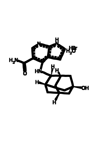 Br.NC(=O)c1cnc2[nH]ccc2c1N[C@H]1[C@@H]2C[C@H]3C[C@H]1C[C@@](O)(C3)C2.O